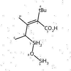 CC(=C(C(=O)O)C(C)(C)C)C(C)[SiH2]O[SiH3]